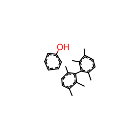 Cc1ccc(C)c(-c2c(C)ccc(C)c2C)c1C.Oc1ccccc1